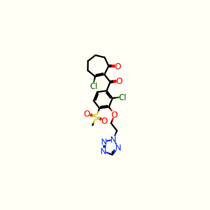 CS(=O)(=O)c1ccc(C(=O)C2=C(Cl)CCCCC2=O)c(Cl)c1OCCn1ncnn1